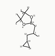 CC(CB1OC(C)(C)C(C)(C)O1)CC1CC1